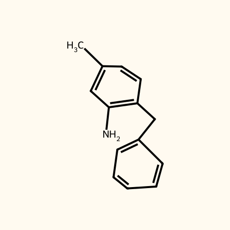 Cc1ccc(Cc2ccccc2)c(N)c1